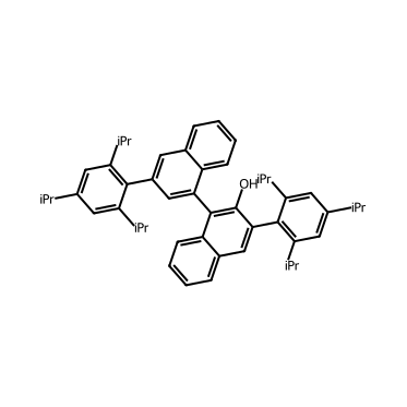 CC(C)c1cc(C(C)C)c(-c2cc(-c3c(O)c(-c4c(C(C)C)cc(C(C)C)cc4C(C)C)cc4ccccc34)c3ccccc3c2)c(C(C)C)c1